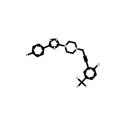 Fc1ccc(-c2nsc(N3CCN(CC#Cc4cc(C(F)(F)F)ccc4Cl)CC3)n2)cc1